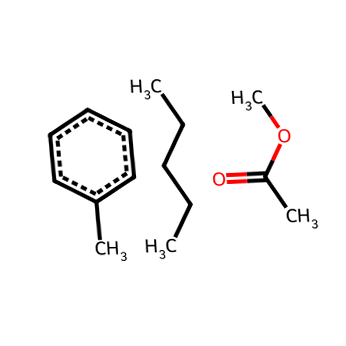 CCCCC.COC(C)=O.Cc1ccccc1